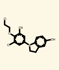 N#Cc1cc(N2CCc3cc(O)ccc32)cc(Cl)c1OCCCl